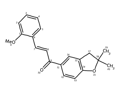 COc1ccccc1C=CC(=O)c1ccc2c(c1)CC(C)(C)O2